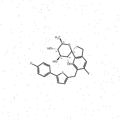 C[C@H]1O[C@]2(CCc3cc(F)c(Cc4ccc(-c5ccc(F)cc5)s4)cc32)[C@H](O)[C@@H](O)[C@@H]1O